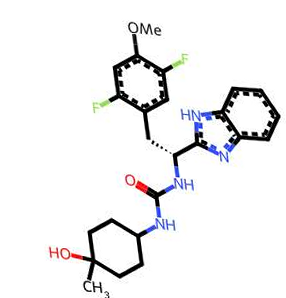 COc1cc(F)c(C[C@@H](NC(=O)NC2CCC(C)(O)CC2)c2nc3ccccc3[nH]2)cc1F